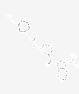 CC(C)n1cc(C(=O)c2cncc(NC(=O)Cc3cccc(CO)c3)c2)c2cncnc21